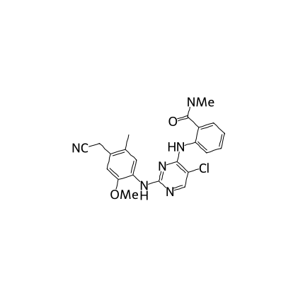 CNC(=O)c1ccccc1Nc1nc(Nc2cc(C)c(CC#N)cc2OC)ncc1Cl